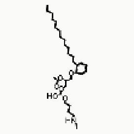 CCCCCCCCCCCCCCc1ccccc1OCC(COP(O)OCCCCNCC)OC(C)=O